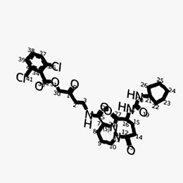 O=C(CCNC(=O)[C@@H]1CCCN2C(=O)CCC(NC(=O)NC3CCCCC3)C(=O)N12)COC(=O)c1c(Cl)cccc1Cl